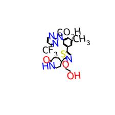 Cc1cc(-c2cnc(C3(OCCO)CCNC(=O)CC3)s2)cc(N(C(=O)O)c2nccc(C(F)(F)F)n2)c1